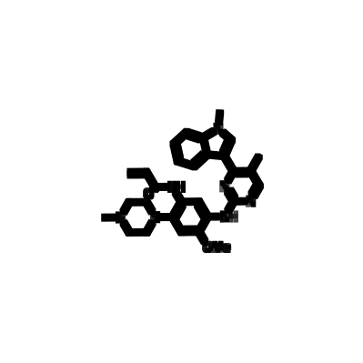 C=CC(=O)Nc1cc(Nc2ncc(C)c(-c3cn(C)c4ccccc34)n2)c(OC)cc1N1CCN(C)CC1